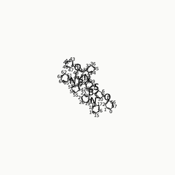 c1ccc(Oc2cc3c4c(c2)N(c2ccccc2)c2ccccc2B4c2cc4c(cc2S3)-n2c3ccccc3c3c(Oc5ccccc5)cc5c(c32)B4c2ccccc2N5c2ccccc2)cc1